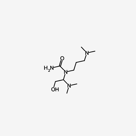 CN(C)CCCN(C(N)=O)C(CO)N(C)C